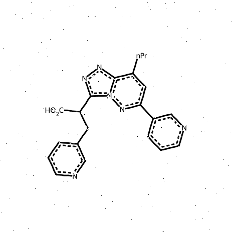 CCCc1cc(-c2cccnc2)nn2c(C(Cc3cccnc3)C(=O)O)nnc12